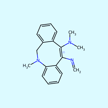 C=N/C1=C(\N(C)C)c2ccccc2CN(C)c2ccccc21